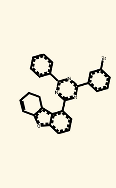 Brc1cccc(-c2nc(-c3ccccc3)nc(-c3cccc4oc5c(c34)CCC=C5)n2)c1